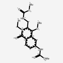 CCCCOc1c(CNC(=O)OC(C)(C)C)n(CC(C)C)c(=O)c2ccc(NC(=O)OC)cc12